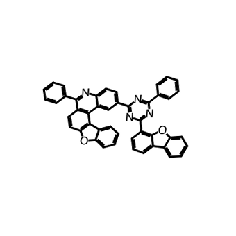 c1ccc(-c2nc(-c3ccc4nc(-c5ccccc5)c5ccc6oc7ccccc7c6c5c4c3)nc(-c3cccc4c3oc3ccccc34)n2)cc1